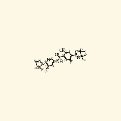 CC1(C)OB(c2cc(Cl)c(C(=O)Nc3cnc(-n4nccn4)c(C(F)(F)F)c3)cc2F)OC1(C)C